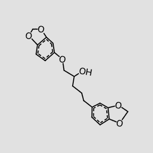 OC(CCCc1ccc2c(c1)OCO2)COc1ccc2c(c1)OCO2